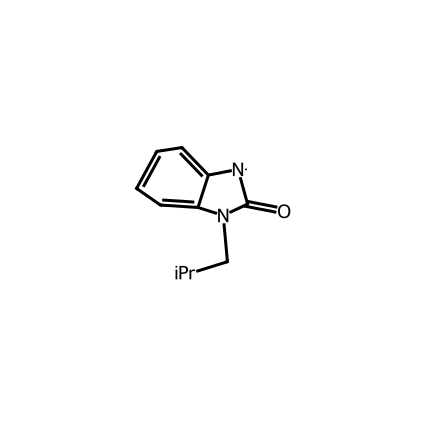 CC(C)CN1C(=O)[N]c2ccccc21